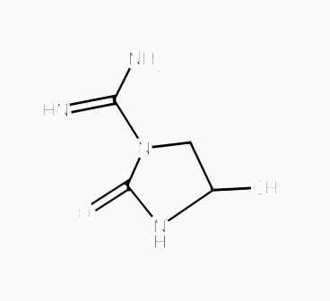 CC1CN(C(=N)N)C(=O)N1